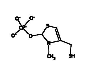 CN1C(CS)=CSC1O[Cl+3]([O-])([O-])[O-]